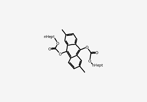 CCCCCCCOC(=O)Oc1c2ccc(C)cc2c(OC(=O)OCCCCCCC)c2ccc(C)cc12